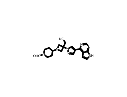 N#CCC1(n2cc(-c3ncnc4[nH]ccc34)cn2)CN(C2CCN(C=O)CC2)C1